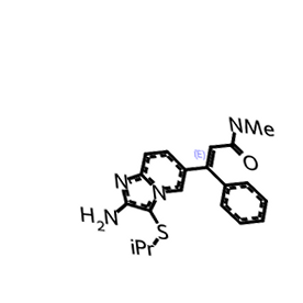 CNC(=O)/C=C(\c1ccccc1)c1ccc2nc(N)c(SC(C)C)n2c1